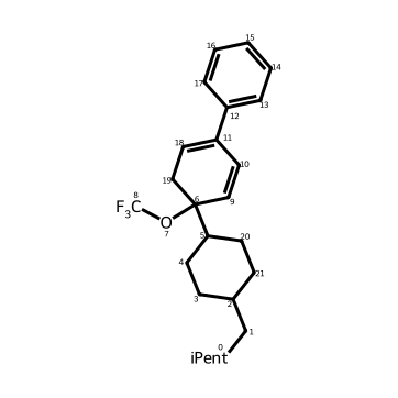 CCCC(C)CC1CCC(C2(OC(F)(F)F)C=CC(c3ccccc3)=CC2)CC1